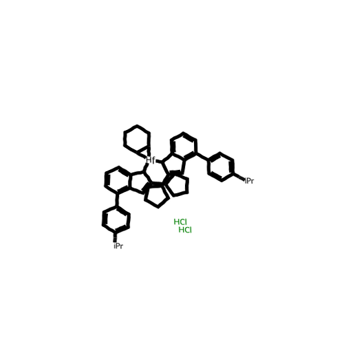 CC(C)c1ccc(-c2cccc3c2C=C(C2CCCC2)[CH]3[Hf]2([CH]3C(C4CCCC4)=Cc4c(-c5ccc(C(C)C)cc5)cccc43)[CH]3CCCC[CH]32)cc1.Cl.Cl